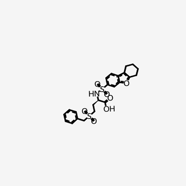 O=C(O)[C@@H](CCS(=O)(=O)Cc1ccccc1)NS(=O)(=O)c1ccc2c3c(oc2c1)CCCC3